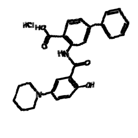 Cl.O=C(Nc1cc(-c2ccccc2)ccc1C(=O)O)c1cc(N2CCCCC2)ccc1O